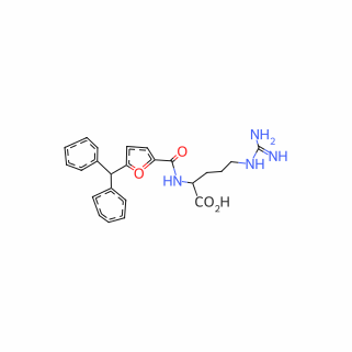 N=C(N)NCCCC(NC(=O)c1ccc(C(c2ccccc2)c2ccccc2)o1)C(=O)O